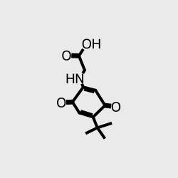 CC(C)(C)C1=CC(=O)C(NCC(=O)O)=CC1=O